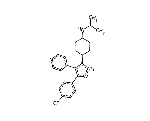 CC(C)N[C@H]1CC[C@@H](c2[nH]nc(-c3ccc(Cl)cc3)c2-c2ccncc2)CC1